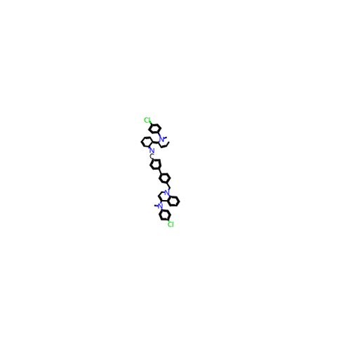 C\C=C/C(=C1/C=CC=C/C1=N\Cc1ccc(-c2ccc(CN3CC=C(N(C)c4ccc(Cl)cc4)c4ccccc43)cc2)cc1)N(C)c1ccc(Cl)cc1